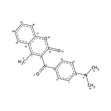 Cc1c(C(=O)c2ccc(N(C)C)cc2)c(=O)oc2ccccc12